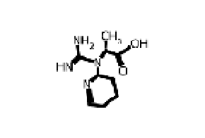 C[C@@H](C(=O)O)N(C(=N)N)C1CCCC=N1